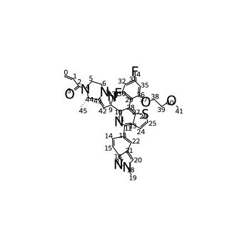 C=CC(=O)N1CCn2nc(-c3nc(-c4ccc5nn(C)cc5c4)c4ccsc4c3-c3c(F)cc(F)cc3OCCOC)cc2[C@@H]1C